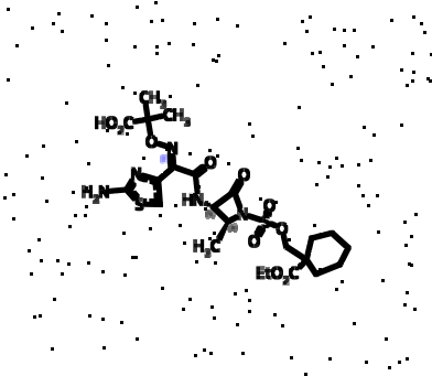 CCOC(=O)C1(COS(=O)(=O)N2C(=O)[C@@H](NC(=O)/C(=N/OC(C)(C)C(=O)O)c3csc(N)n3)[C@@H]2C)CCCCC1